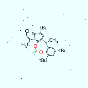 C/C=C(/C)c1cc(C(C)(C)C)cc2c1OP(F)Oc1c(cc(C(C)(C)C)cc1C(C)(C)C)C2C